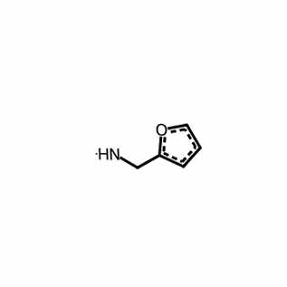 [NH]Cc1ccco1